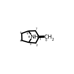 C=C1CC2CCC(C1)N2